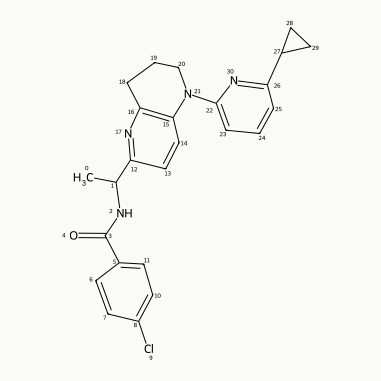 CC(NC(=O)c1ccc(Cl)cc1)c1ccc2c(n1)CCCN2c1cccc(C2CC2)n1